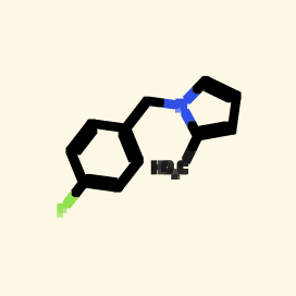 O=C(O)c1cccn1Cc1ccc(F)cc1